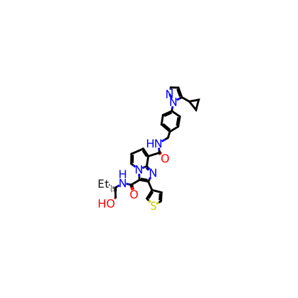 CC[C@@H](CO)NC(=O)c1c(-c2ccsc2)nc2c(C(=O)NCc3ccc(-n4nccc4C4CC4)cc3)cccn12